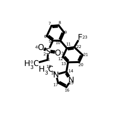 CCS(=O)(=O)c1ccccc1-c1cc(-c2nccn2C)ccc1F